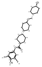 CC[C@H]1CC[C@H](COC2CCC([C@H]3CC[C@H](C(=O)Oc4cc(F)c(C#N)c(F)c4)CC3)CC2)CC1